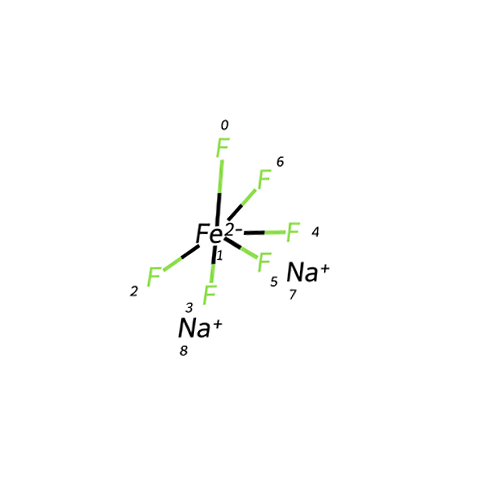 [F][Fe-2]([F])([F])([F])([F])[F].[Na+].[Na+]